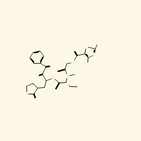 CCN(C(=O)[C@@H](NC(=O)c1oc(C)nc1C)C(C)(C)C)[C@@H](CC(C)C)C(=O)NC(CC1CCNC1=O)C(=O)C(=O)c1ccccc1